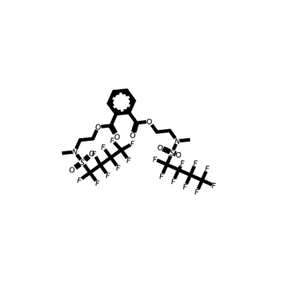 CN(CCOC(=O)c1ccccc1C(=O)OCCN(C)S(=O)(=O)C(F)(F)C(F)(F)C(F)(F)C(F)(F)F)S(=O)(=O)C(F)(F)C(F)(F)C(F)(F)C(F)(F)F